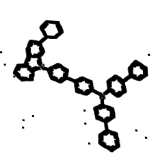 C1=CCC(c2ccc3c4ccccc4n(-c4ccc(-c5ccc(N(c6ccc(-c7ccccc7)cc6)c6ccc(-c7ccccc7)cc6)cc5)cc4)c3c2)C=C1